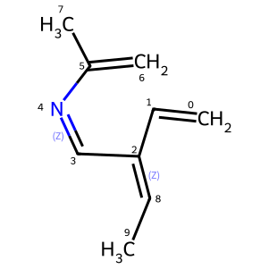 C=CC(/C=N\C(=C)C)=C/C